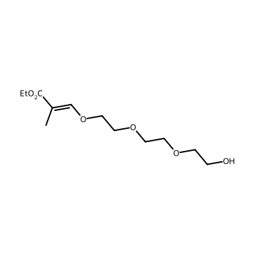 CCOC(=O)C(C)=COCCOCCOCCO